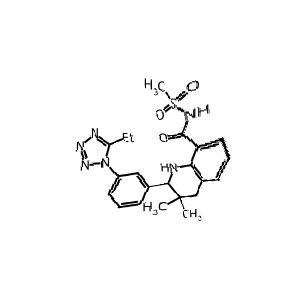 CCc1nnnn1-c1cccc(C2Nc3c(cccc3C(=O)NS(C)(=O)=O)CC2(C)C)c1